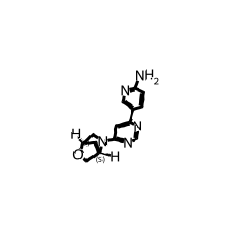 Nc1ccc(-c2cc(N3C[C@@H]4C[C@H]3CO4)ncn2)cn1